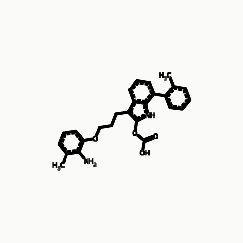 Cc1ccccc1-c1cccc2c(CCCOc3cccc(C)c3N)c(OC(=O)O)[nH]c12